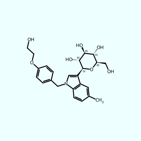 Cc1ccc2c(c1)c([C@@H]1O[C@H](CO)[C@@H](O)[C@H](O)[C@H]1O)cn2Cc1ccc(OCCO)cc1